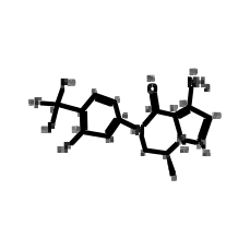 C[C@H]1CN(c2ccc(C(F)(F)F)c(F)c2)C(=O)c2c(N)cnn21